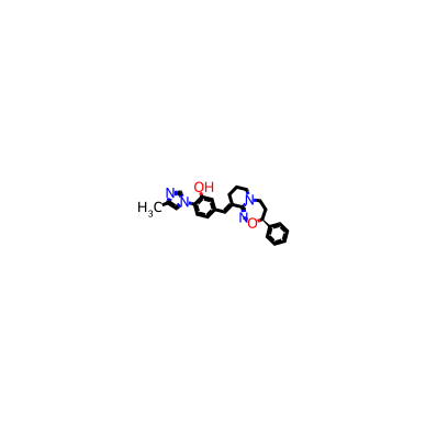 Cc1cn(-c2ccc(/C=C3\CCCN4CC[C@@H](c5ccccc5)ON=C34)cc2O)cn1